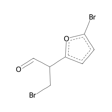 O=CC(CBr)c1ccc(Br)o1